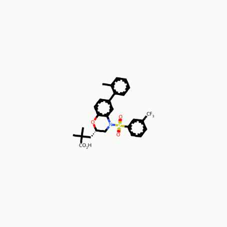 Cc1ccccc1-c1ccc2c(c1)N(S(=O)(=O)c1cccc(C(F)(F)F)c1)C[C@H](CC(C)(C)C(=O)O)O2